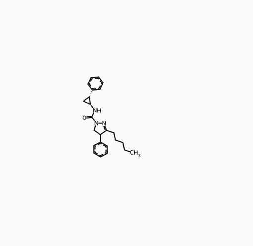 CCCCCC1=NN(C(=O)N[C@H]2C[C@@H]2c2ccccc2)CC1c1ccccc1